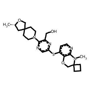 C[C@H]1CC2(CCN(c3ncc(Sc4ccnc5c4OCC4(CCC4)N5C)nc3CO)CC2)CO1